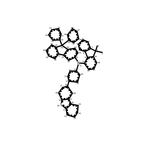 CC1(C)c2ccccc2-c2c(N(c3ccc(-c4ccc5sc6ccccc6c5c4)cc3)c3ccc4c(c3)-c3ccccc3C4(c3ccccc3)c3ccccc3)cccc21